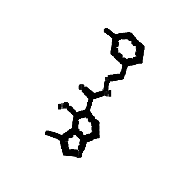 Cc1cccc(C=NNC(=O)c2ccc3occ(C)c3c2O)c1